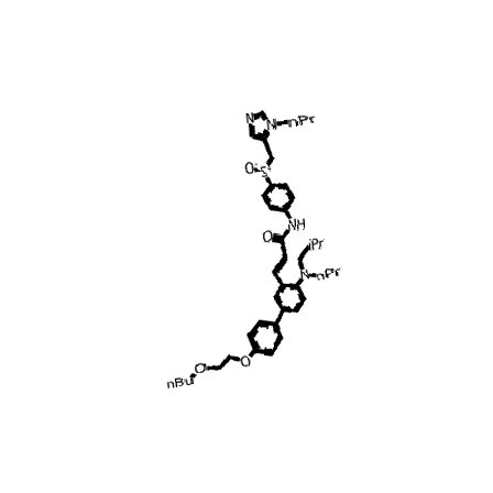 CCCCOCCOc1ccc(-c2ccc(N(CCC)CC(C)C)c(/C=C/C(=O)Nc3ccc([S@@+]([O-])Cc4cncn4CCC)cc3)c2)cc1